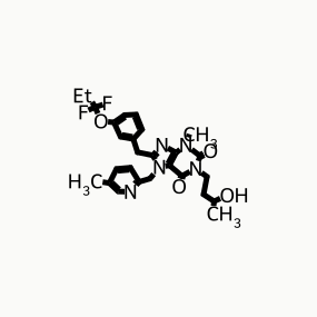 CCC(F)(F)Oc1cccc(Cc2nc3c(c(=O)n(CCC(C)O)c(=O)n3C)n2Cc2ccc(C)cn2)c1